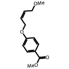 COC/C=C\COc1ccc(C(=O)OC)cc1